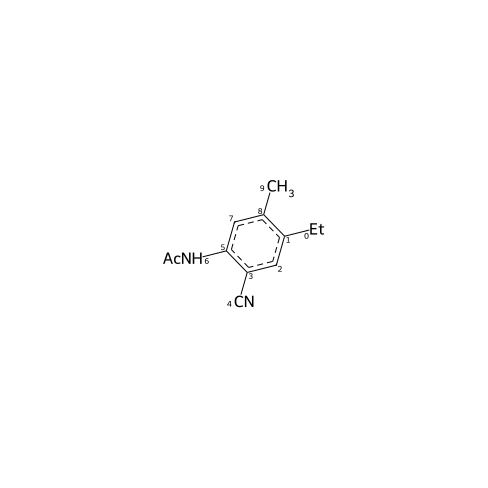 CCc1cc(C#N)c(NC(C)=O)cc1C